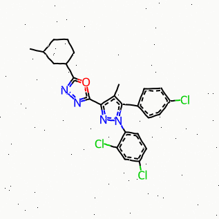 Cc1c(-c2nnc(C3CCCC(C)C3)o2)nn(-c2ccc(Cl)cc2Cl)c1-c1ccc(Cl)cc1